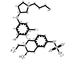 C[C@@H]1Cc2cc(OS(=O)(=O)C(F)(F)F)ccc2[C@@H](c2c(F)cc(O[C@H]3CCN(CCCF)C3)cc2F)N1CC(F)(F)F